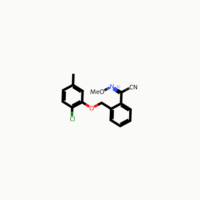 CO/N=C(/C#N)c1ccccc1COc1cc(C)ccc1Cl